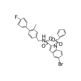 Cc1cc(CNS(=O)(=O)c2cc3cc(Br)ccc3n2S(=O)(=O)c2ccccc2)ccc1-c1ccc(F)cc1